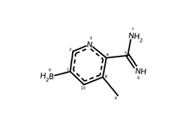 Bc1cnc(C(=N)N)c(C)c1